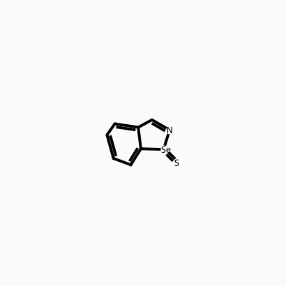 S=[Se]1N=Cc2ccccc21